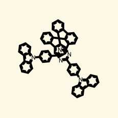 c1ccc2c(c1)-c1ccccc1C21c2ccccc2-c2cccc(-c3nc(-c4ccc(-n5c6ccccc6c6ccccc65)cc4)nc(-c4ccc(-n5c6ccccc6c6ccccc65)cc4)n3)c21